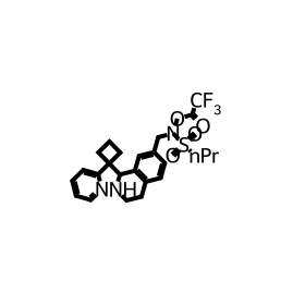 CCCS(=O)(=O)N(Cc1ccc2c(c1)C(C1(c3ccccn3)CCC1)NCC2)OC(=O)C(F)(F)F